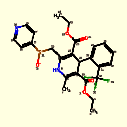 CCOC(=O)C1=C(C)NC(C[S+]([O-])c2ccncc2)=C(C(=O)OCC)C1c1ccccc1C(F)(F)F